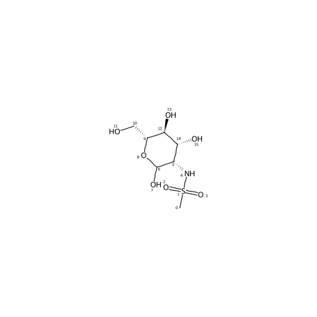 CS(=O)(=O)N[C@@H]1C(O)O[C@H](CO)[C@@H](O)[C@@H]1O